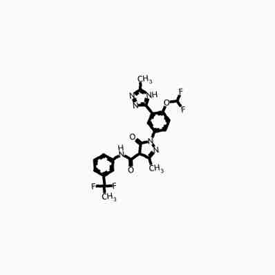 CC1=NN(c2ccc(OC(F)F)c(-c3nnc(C)[nH]3)c2)C(=O)C1C(=O)Nc1cccc(C(C)(F)F)c1